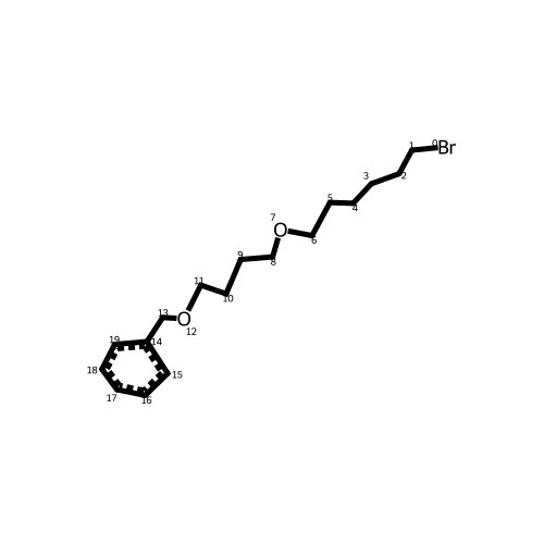 BrCCCCCCOCCCCOCc1ccccc1